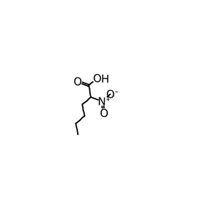 CCCCC(C(=O)O)[N+](=O)[O-]